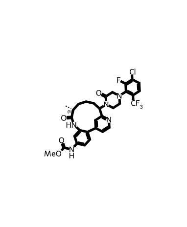 COC(=O)Nc1ccc2c(c1)NC(=O)[C@H](C)CCCC(N1CCN(c3c(C(F)(F)F)ccc(Cl)c3F)CC1=O)c1cc-2ccn1